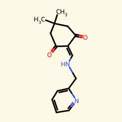 CC1(C)CC(=O)C(=CNCc2ccccn2)C(=O)C1